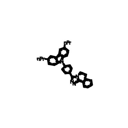 CCCc1ccc2c(c1)c1cc(CCC)ccc1n2-c1ccc(-c2nnc3c4ccccc4ccn23)cc1